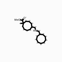 COC(=O)C1(C)CCCCC(CNCC2CCCCCCCC2)CCC1